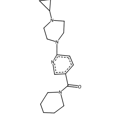 O=C(c1ccc(N2CCN(C3CC3)CC2)nc1)N1CCCCC1